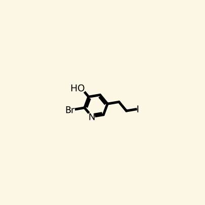 Oc1cc(CCI)cnc1Br